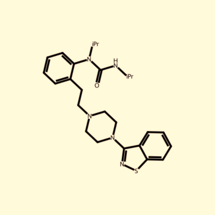 CC(C)NC(=O)N(c1ccccc1CCN1CCN(c2nsc3ccccc23)CC1)C(C)C